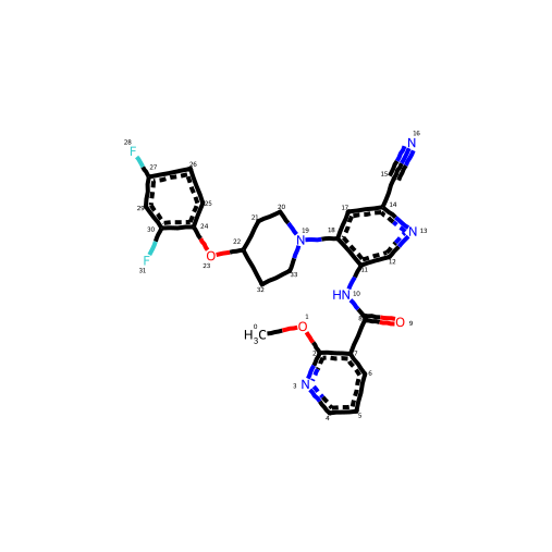 COc1ncccc1C(=O)Nc1cnc(C#N)cc1N1CCC(Oc2ccc(F)cc2F)CC1